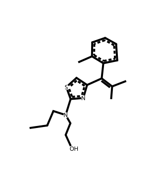 CCCN(CCO)c1nc(C(=C(C)C)c2ccccc2C)cs1